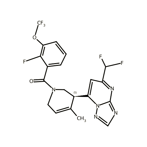 CC1=CCN(C(=O)c2cccc(OC(F)(F)F)c2F)C[C@H]1c1cc(C(F)F)nc2ncnn12